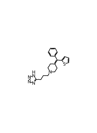 c1ccc(C(=C2CCN(CCCc3nnn[nH]3)CC2)c2cccs2)cc1